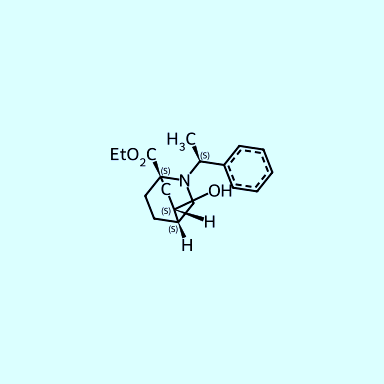 CCOC(=O)[C@@]12CC[C@@H](CN1[C@@H](C)c1ccccc1)[C@@H](O)C2